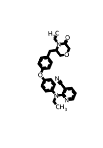 CCN(c1ccc(Oc2ccc(CC3COCC(=O)N3CC)cc2)cc1)c1ncccc1C#N